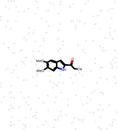 COc1cc2cc(C(=O)CC#N)[nH]c2cc1OC